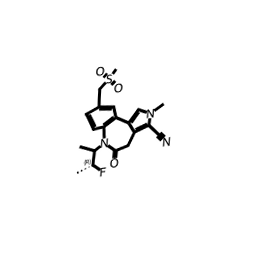 CC([C@@H](C)F)N1C(=O)Cc2c(cn(C)c2C#N)-c2cc(CS(C)(=O)=O)ccc21